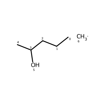 CCCC(C)O.[CH3]